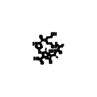 C[C@@H](NC(=O)C(F)F)[C@H]1C(=O)N2C(C(=O)O)=C(S[C@@H]3CN[C@H](C(=O)N(CCO)CCO)C3)[C@H](C)[C@H]12